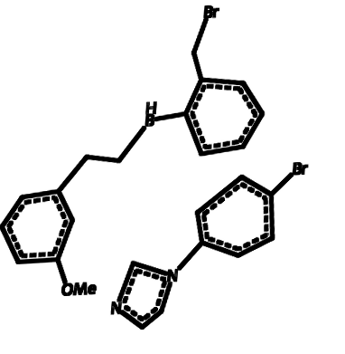 Brc1ccc(-n2ccnc2)cc1.COc1cccc(CCBc2ccccc2CBr)c1